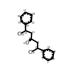 O=C(CC(Cl)c1ccccc1)CC(Cl)c1ccccc1